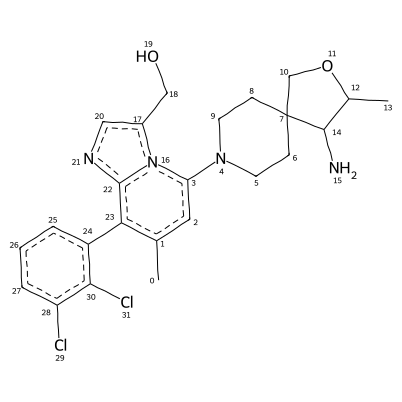 Cc1cc(N2CCC3(CC2)COC(C)C3N)n2c(CO)cnc2c1-c1cccc(Cl)c1Cl